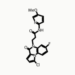 COc1ccc(NC(=O)CCn2c(=O)c3ccc(Cl)n3c3ccc(F)cc32)nc1